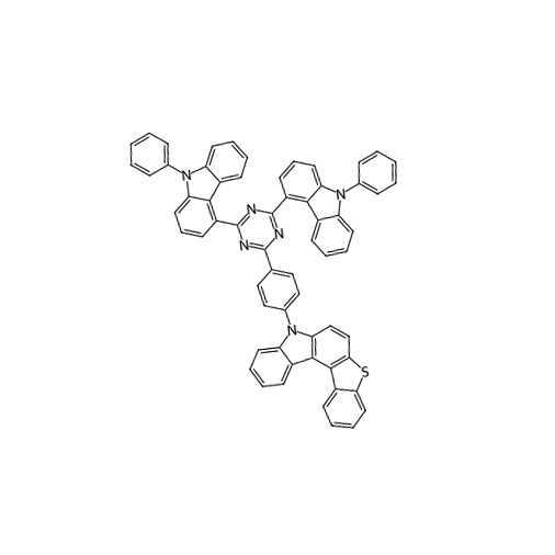 c1ccc(-n2c3ccccc3c3c(-c4nc(-c5ccc(-n6c7ccccc7c7c8c(ccc76)sc6ccccc68)cc5)nc(-c5cccc6c5c5ccccc5n6-c5ccccc5)n4)cccc32)cc1